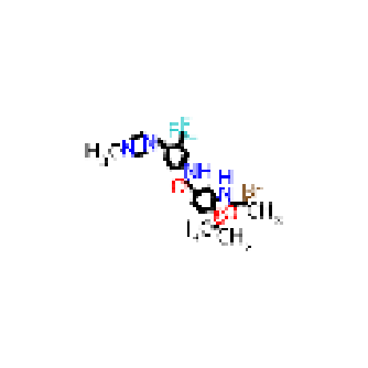 CC(C)Oc1ccc(C(=O)NC2=CC(C(F)(F)F)C(=CN3CCN(C)CC3)C=C2)cc1NC(=O)C(C)Br